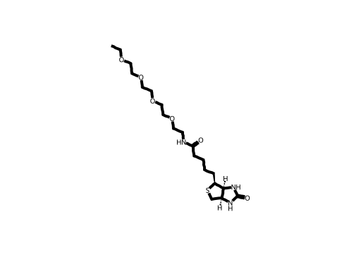 CCOCCOCCOCCOCCNC(=O)CCCC[C@@H]1SC[C@@H]2NC(=O)N[C@@H]21